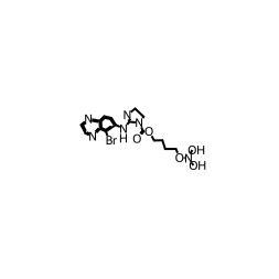 O=C(OCCCCON(O)O)N1CCN=C1Nc1ccc2nccnc2c1Br